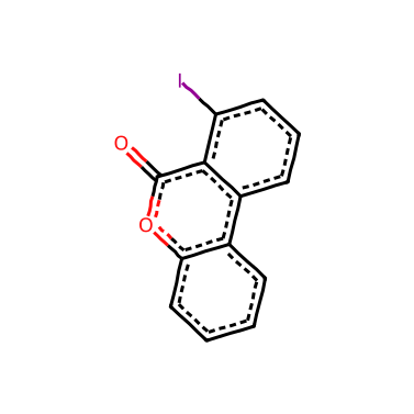 O=c1oc2ccccc2c2cccc(I)c12